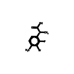 Cc1ccc(N(C)C(=O)O)c(F)c1Br